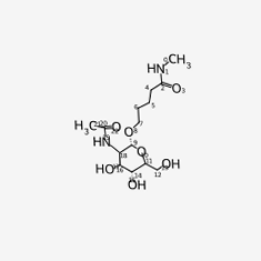 CNC(=O)CCCCO[C@@H]1OC(CO)[C@H](O)C(O)C1NC(C)=O